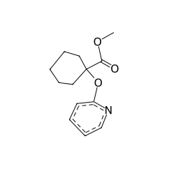 COC(=O)C1(Oc2ccccn2)CCCCC1